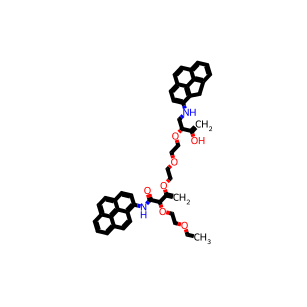 C=C(O)C(CNc1ccc2ccc3cccc4c3c2c1C4)OCCOCCOC(=C)C(OCCOCC)C(=O)Nc1ccc2ccc3cccc4ccc1c2c34